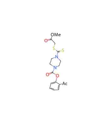 COC(=O)CSC(=S)N1CCN(C(=O)Oc2ccccc2C(C)=O)CC1